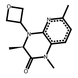 Cc1ccc2c(n1)N(C1COC1)[C@H](C)C(=O)N2C